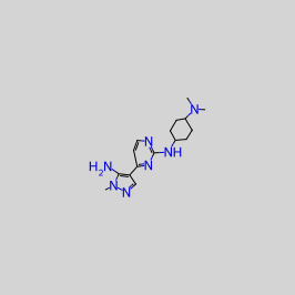 CN(C)C1CCC(Nc2nccc(-c3cnn(C)c3N)n2)CC1